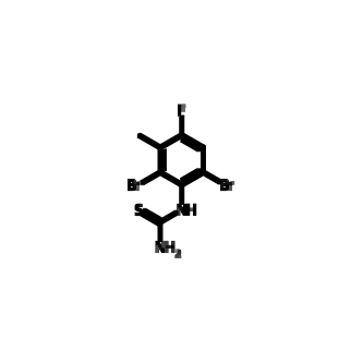 Cc1c(F)cc(Br)c(NC(N)=S)c1Br